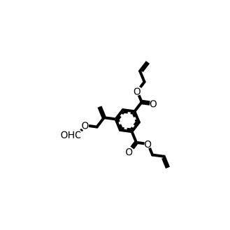 C=CCOC(=O)c1cc(C(=C)COC=O)cc(C(=O)OCC=C)c1